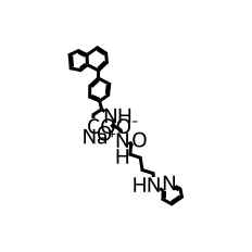 O=C([O-])CC(NC(=O)CNC(=O)CCCCNc1ccccn1)c1ccc(-c2cccc3ccccc23)cc1.[Na+]